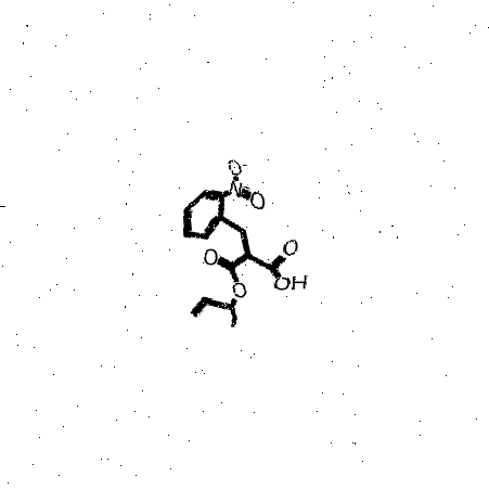 CCC(C)OC(=O)C(Cc1ccccc1[N+](=O)[O-])C(=O)O